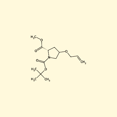 C=CCOC1C[C@@H](C(=O)OC)N(C(=O)OC(C)(C)C)C1